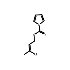 C/C(Cl)=C/CSC(=S)n1cccc1